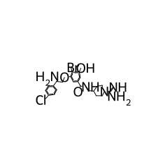 N=C(N)N1CCC(CNC(=O)c2cc(O)c(Br)c(OC[C@@H](N)c3ccc(Cl)cc3)c2)CC1